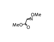 CO/N=C/C(=O)OC